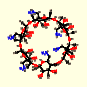 NCC1O[C@@H]2O[C@@H]3C(CN)O[C@H](O[C@@H]4C(CN)O[C@H](O[C@@H]5C(CN)O[C@H](O[C@@H]6C(CN)O[C@H](O[C@@H]7C(CN)O[C@H](O[C@H]1[C@H](O)C2O)C(O)[C@H]7O)C(O)[C@H]6O)C(O)[C@H]5O)C(O)[C@H]4O)C(O)[C@H]3O